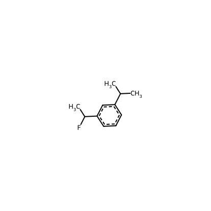 CC(C)c1cccc(C(C)F)c1